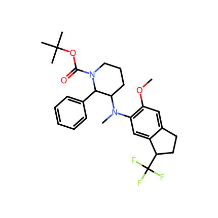 COc1cc2c(cc1N(C)C1CCCN(C(=O)OC(C)(C)C)C1c1ccccc1)C(C(F)(F)F)CC2